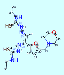 CCN/C(S)=N/N=C(/C(C)=N/N=C(\S)NCC)c1ccc(CN2CCOCC2)o1